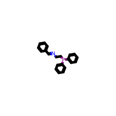 C(=NCCP(c1ccccc1)c1ccccc1)c1ccccc1